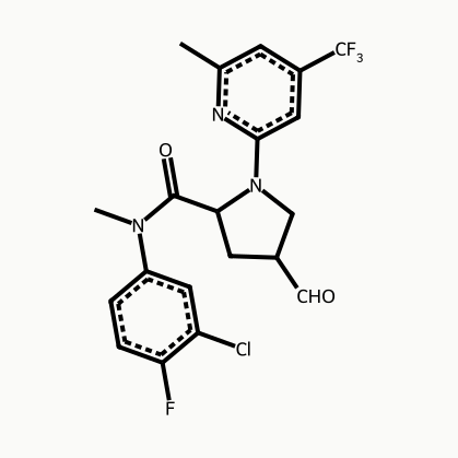 Cc1cc(C(F)(F)F)cc(N2CC(C=O)CC2C(=O)N(C)c2ccc(F)c(Cl)c2)n1